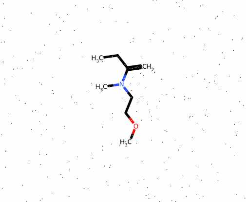 C=C(CC)N(C)CCOC